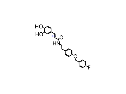 O=C(/C=C/c1ccc(O)c(O)c1)NCCc1ccc(OCc2ccc(F)cc2)cc1